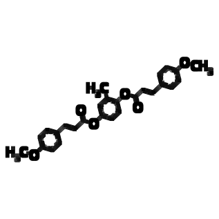 COc1ccc(/C=C/C(=O)Oc2ccc(OC(=O)/C=C/c3ccc(OC)cc3)c(C)c2)cc1